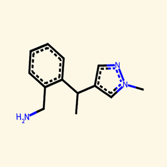 CC(c1cnn(C)c1)c1ccccc1CN